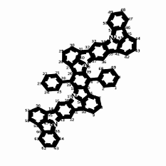 c1ccc(-c2c3c4cccc5c6cc7c(cc6n(c3c(-c3ccccc3)c3c6cccc8c9cc%10c(cc9n(c23)c86)c2cccc3c6ccccc6n%10c32)c54)c2cccc3c4ccccc4n7c32)cc1